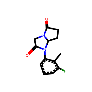 Cc1c(F)cccc1N1C(=O)CN2C(=O)CCC21